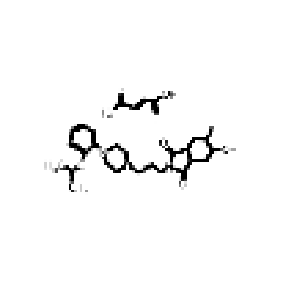 CC(C)Oc1ccccc1N1CCN(CCCN2C(=O)C3CC(O)C(F)CC3C2=O)CC1.O=C(O)C=CC(=O)O